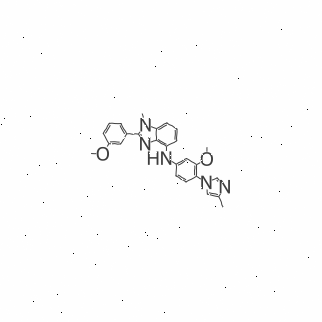 COc1cccc(-c2nc3c(Nc4ccc(-n5cnc(C)c5)c(OC)c4)cccc3n2C)c1